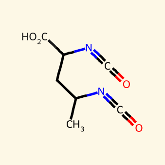 CC(CC(N=C=O)C(=O)O)N=C=O